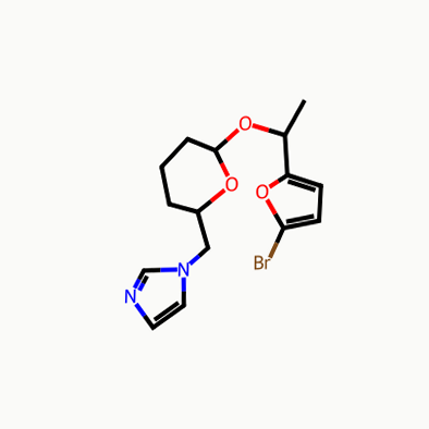 CC(OC1CCCC(Cn2ccnc2)O1)c1ccc(Br)o1